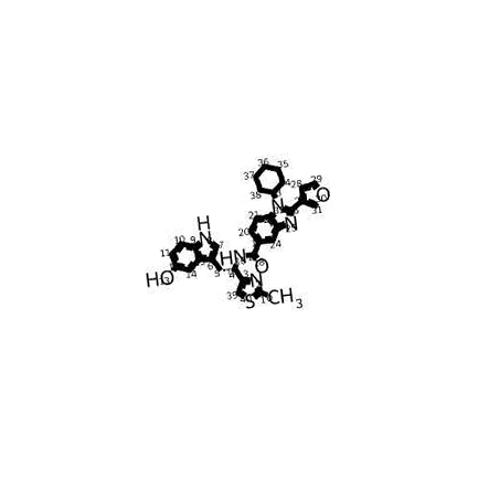 Cc1nc([C@H](Cc2c[nH]c3ccc(O)cc23)NC(=O)c2ccc3c(c2)nc(-c2ccoc2)n3C2CCCCC2)cs1